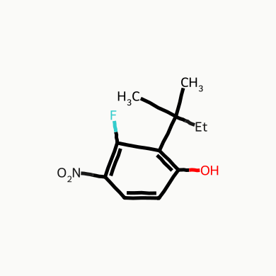 CCC(C)(C)c1c(O)ccc([N+](=O)[O-])c1F